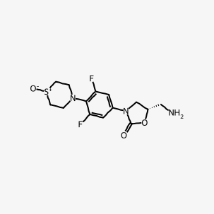 NC[C@H]1CN(c2cc(F)c(N3CC[S+]([O-])CC3)c(F)c2)C(=O)O1